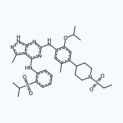 CCS(=O)(=O)N1CCC(c2cc(OC(C)C)c(Nc3nc(Nc4ccccc4S(=O)(=O)C(C)C)c4c(C)n[nH]c4n3)cc2C)CC1